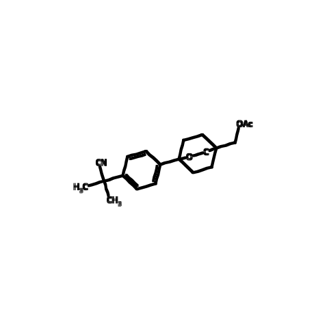 CC(=O)OCC12CCC(c3ccc(C(C)(C)C#N)cc3)(CC1)OC2